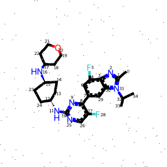 Cc1nc2c(F)cc(-c3nc(N[C@H]4CC[C@H](NC5CCOCC5)CC4)ncc3F)cc2n1C(C)C